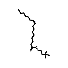 CCCCCC/C=C\CCCCCCCC(=O)[P-]OCC[N+](C)(C)C